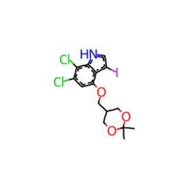 CC1(C)OCC(COc2cc(Cl)c(Cl)c3[nH]cc(I)c23)CO1